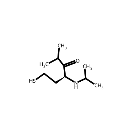 CC(C)N[C@@H](CCS)C(=O)C(C)C